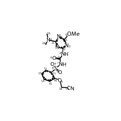 COc1nc(NC(=O)NS(=O)(=O)c2ccccc2OCC#N)nc(N(C)C)n1